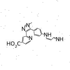 Cn1cnc(-c2cc(C(=O)O)ccn2)c1-c1ccc(N/C=C\C=N)cc1